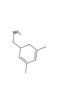 CC1=CC(CN)CC(C)=C1